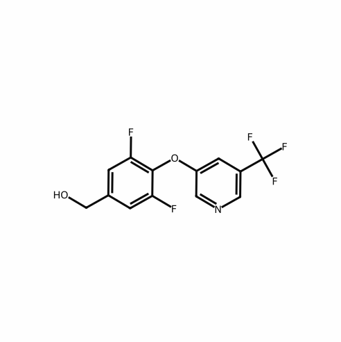 OCc1cc(F)c(Oc2cncc(C(F)(F)F)c2)c(F)c1